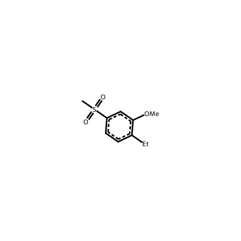 CCc1ccc(S(C)(=O)=O)cc1OC